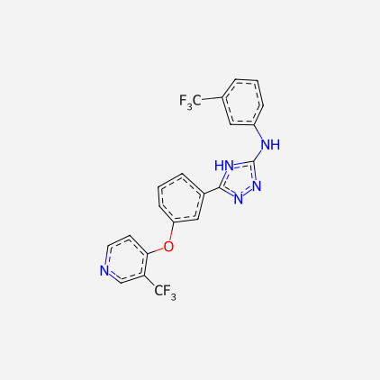 FC(F)(F)c1cccc(Nc2nnc(-c3cccc(Oc4ccncc4C(F)(F)F)c3)[nH]2)c1